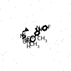 Cc1cc2c(cnn2-c2ccc(F)cc2)cc1N1CCC(C)(NS(=O)(=O)c2cnn(CC3CC3)c2)CC1